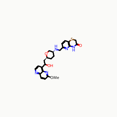 COc1ccc2nccc(C(O)C[C@@H]3CC[C@@H](NCc4ccc5c(n4)NC(=O)CS5)CO3)c2n1